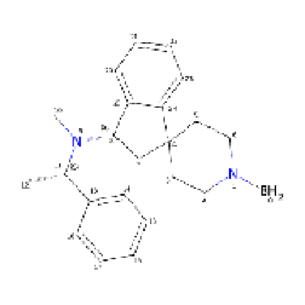 BN1CCC2(CC1)C[C@H](N(C)[C@@H](C)c1ccccc1)c1ccccc12